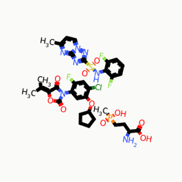 CC(C)=C1OC(=O)N(c2cc(OC3CCCC3)c(Cl)cc2F)C1=O.CP(=O)(O)CCC(N)C(=O)O.Cc1ccn2nc(S(=O)(=O)Nc3c(F)cccc3F)nc2n1